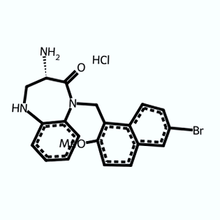 COc1ccc2cc(Br)ccc2c1CN1C(=O)[C@@H](N)CNc2ccccc21.Cl